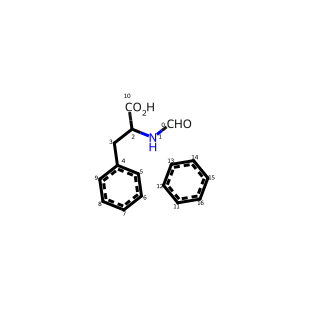 O=CNC(Cc1ccccc1)C(=O)O.c1ccccc1